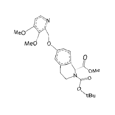 COC(=O)[C@H]1c2ccc(OCc3nccc(OC)c3OC)cc2CCN1C(=O)OC(C)(C)C